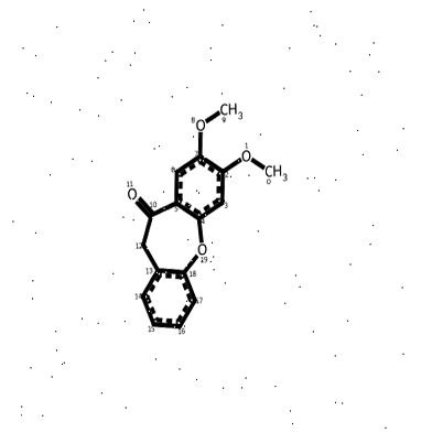 COc1cc2c(cc1OC)C(=O)Cc1ccccc1O2